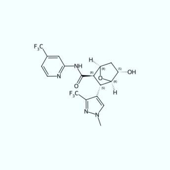 Cn1cc([C@H]2[C@H]3O[C@H](C[C@@H]3O)[C@@H]2C(=O)Nc2cc(C(F)(F)F)ccn2)c(C(F)(F)F)n1